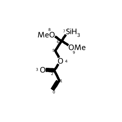 C=CC(=O)OCC([SiH3])(OC)OC